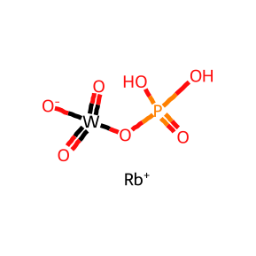 O=P(O)(O)[O][W](=[O])(=[O])[O-].[Rb+]